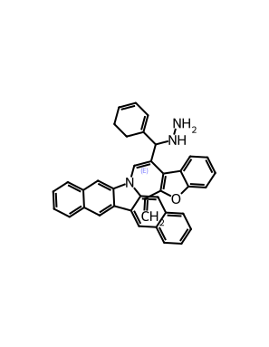 C=Cc1oc2ccccc2c1/C(=C\n1c2cc3ccccc3cc2c2cc3ccccc3cc21)C(NN)C1=CC=CCC1